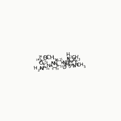 COCC1(OC2CN(c3ccc4c(n3)CCC(NC(=O)c3sc5nc(C)cc(C)c5c3N)C4)CC2N)CC1